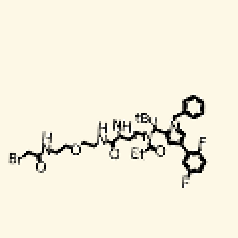 CCC(=O)N(CCC(N)C(=O)NCCOCCNC(=O)CBr)C(c1cc(-c2cc(F)ccc2F)cn1Cc1ccccc1)C(C)(C)C